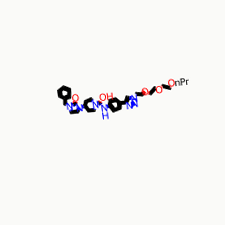 CCCOCCOCCOCCn1cc(-c2ccc(NC(O)N3CCC(N4CCN(Cc5ccccc5)C4=O)CC3)cc2)nn1